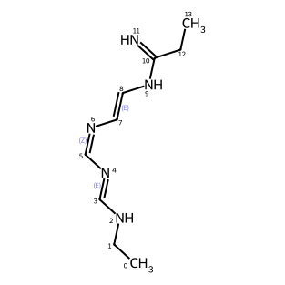 CCN/C=N/C=N\C=C\NC(=N)CC